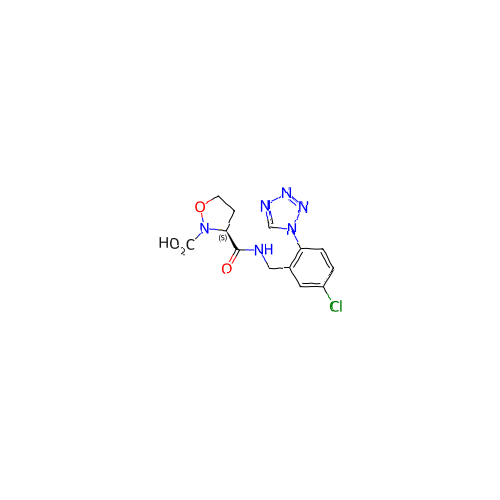 O=C(NCc1cc(Cl)ccc1-n1cnnn1)[C@@H]1CCON1C(=O)O